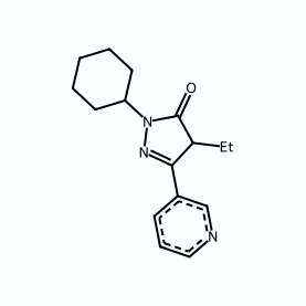 CCC1C(=O)N(C2CCCCC2)N=C1c1cccnc1